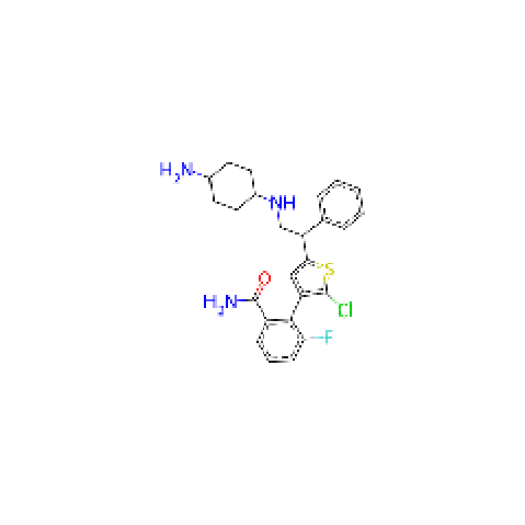 NC(=O)c1cccc(F)c1-c1cc(C(CNC2CCC(N)CC2)c2ccccc2)sc1Cl